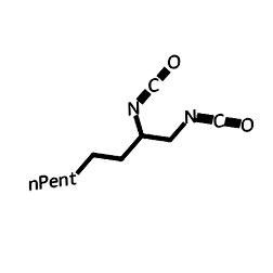 CCCCCCCC(CN=C=O)N=C=O